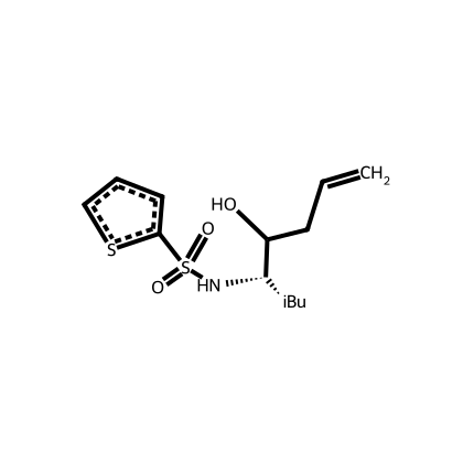 C=CCC(O)[C@@H](NS(=O)(=O)c1cccs1)[C@@H](C)CC